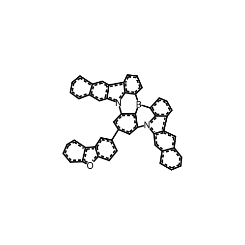 c1ccc2cc3c(cc2c1)c1cccc2c1n3-c1cc(-c3ccc4oc5ccccc5c4c3)cc3c1B2c1cccc2c4cc5ccccc5cc4n-3c12